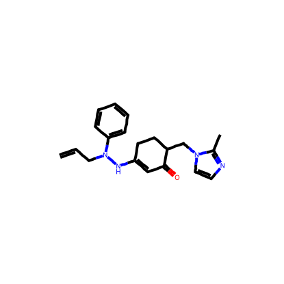 C=CCN(NC1=CC(=O)C(Cn2ccnc2C)CC1)c1ccccc1